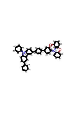 c1ccc(-c2ccc3c(c2)c2cc(-c4ccc(-c5ccc6c(c5)Oc5cccc7c5N6c5ccccc5O7)cc4)ccc2n3-c2ccccc2)cc1